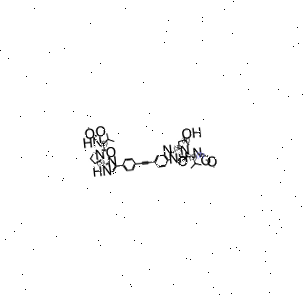 COO/C=N\[C@H](C(=O)N1C[C@H](O)C[C@H]1c1nc2cc(C#Cc3ccc(-c4c[nH]c([C@@H]5CCCN5C(=O)[C@@H](NC(=O)OC)C(C)C)n4)cc3)ccc2[nH]1)C(C)C